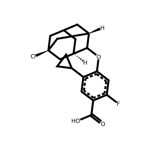 O=C(O)c1cc(C2CC2)c(OC2[C@@H]3CC4C[C@H]2C[C@@](Cl)(C4)C3)cc1F